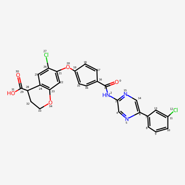 O=C(Nc1cnc(-c2cccc(Cl)c2)cn1)c1ccc(Oc2cc3c(cc2Cl)C(C(=O)O)CCO3)cc1